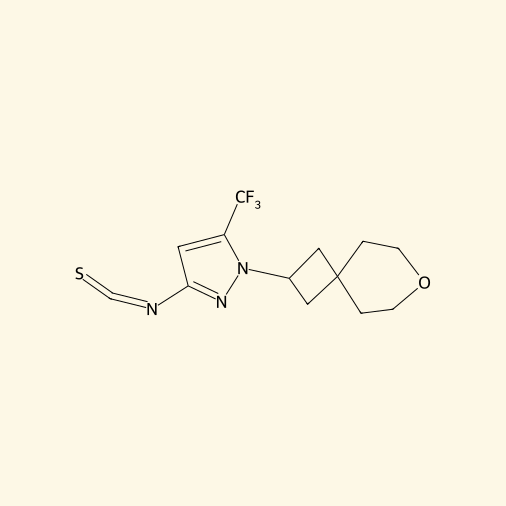 FC(F)(F)c1cc(N=C=S)nn1C1CC2(CCOCC2)C1